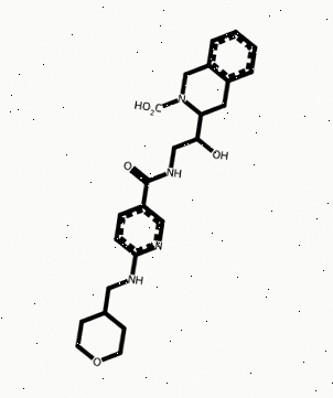 O=C(NCC(O)C1Cc2ccccc2CN1C(=O)O)c1ccc(NCC2CCOCC2)nc1